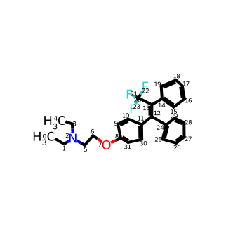 CCN(CC)CCOc1ccc(C(=C(c2ccccc2)C(F)(F)F)c2ccccc2)cc1